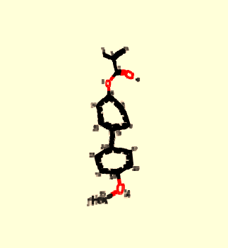 C=C(C)C(=O)Oc1ccc(-c2ccc(OCCCCCC)cc2)cc1